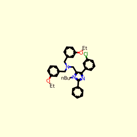 CCCCn1c(-c2ccccc2)nc(-c2cccc(Cl)c2)c1CN(Cc1cccc(OCC)c1)Cc1cccc(OCC)c1